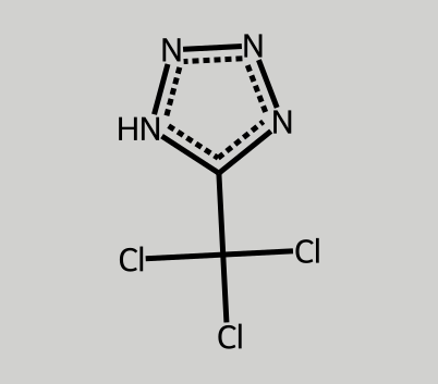 ClC(Cl)(Cl)c1nnn[nH]1